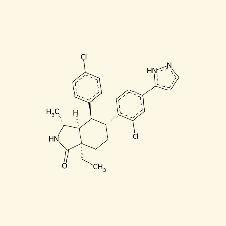 CC[C@@]12CC[C@@H](c3ccc(-c4ccn[nH]4)cc3Cl)[C@H](c3ccc(Cl)cc3)[C@@H]1[C@@H](C)NC2=O